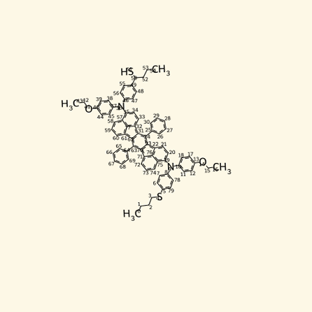 CCCCSc1ccc(N(c2ccc(OCC)cc2)c2ccc3c4c(-c5ccccc5)c5c6ccc(N(c7ccc(OCC)cc7)c7ccc(C(S)CCC)cc7)c7cccc(c5c(-c5ccccc5)c4c4cccc2c43)c76)cc1